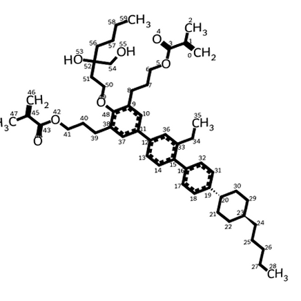 C=C(C)C(=O)OCCCc1cc(-c2ccc(-c3ccc([C@H]4CC[C@H](CCCCC)CC4)cc3)c(CC)c2)cc(CCCOC(=O)C(=C)C)c1OCCC(O)(CO)CCCC